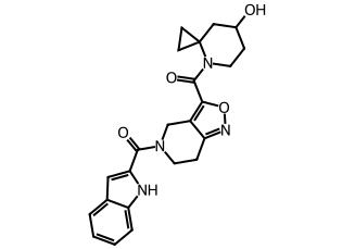 O=C(c1cc2ccccc2[nH]1)N1CCc2noc(C(=O)N3CCC(O)CC34CC4)c2C1